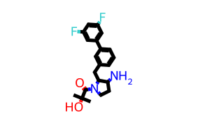 CC(C)(O)C(=O)N1CCC(N)C1Cc1cccc(-c2cc(F)cc(F)c2)c1